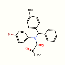 COC(=O)C(=O)N(c1ccc(Br)cc1)C(c1ccccc1)c1ccc(C(C)(C)C)cc1